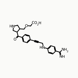 N=C(N)c1ccc(NCC#Cc2ccc(C(=O)C3CNCC3COCC(=O)O)cc2)cc1